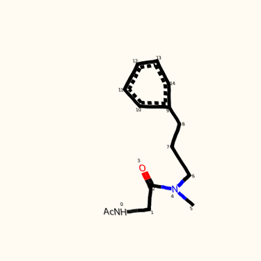 CC(=O)NCC(=O)N(C)CCCc1ccccc1